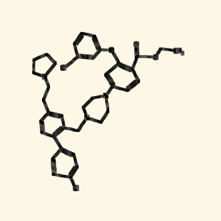 CCOC(=O)c1ccc(N2CCN(Cc3cc(CCN4CCCC4)ccc3-c3ccc(Cl)cc3)CC2)cc1Oc1cccc(Cl)c1